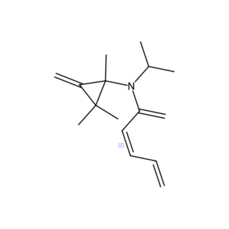 C=C/C=C\C(=C)N(C(C)C)C1(C)C(=C)C1(C)C